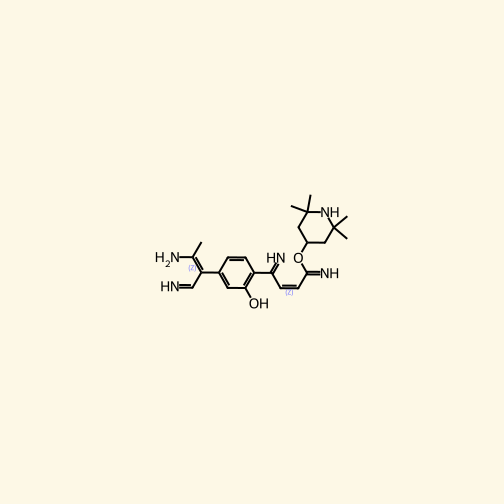 C/C(N)=C(/C=N)c1ccc(C(=N)/C=C\C(=N)OC2CC(C)(C)NC(C)(C)C2)c(O)c1